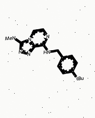 CNc1nnc2c(NCc3ccc(C(C)(C)C)cc3)nccn12